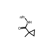 CCCNC(=O)C1(C)CC1